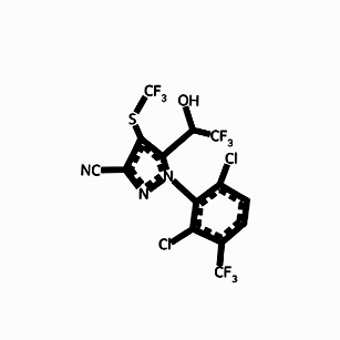 N#Cc1nn(-c2c(Cl)ccc(C(F)(F)F)c2Cl)c(C(O)C(F)(F)F)c1SC(F)(F)F